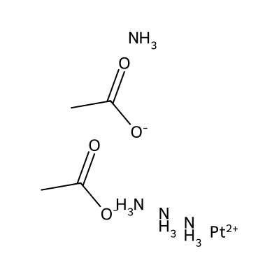 CC(=O)[O-].CC(=O)[O-].N.N.N.N.[Pt+2]